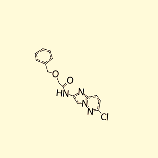 O=C(COCc1ccccc1)Nc1cn2nc(Cl)ccc2n1